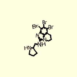 Brc1c(Br)c2c3c(nc(NCC4CCCN4)n3CCC2)c1Br